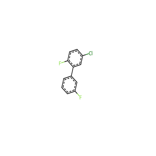 Fc1cccc(-c2cc(Cl)ccc2F)c1